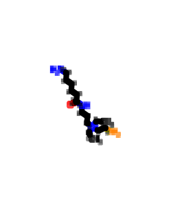 CC[N+](CC)(CCP)CCCNC(=O)CCCCCN